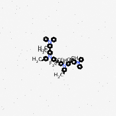 C=Cc1ccc(N(c2ccc(C(c3ccc(N(c4ccc(C=C)cc4)c4ccc(C5(C)CC=C(N(c6ccccc6)c6ccccc6)C=C5C)c(C)c4)cc3)(C(F)(F)F)C(F)(F)F)cc2)c2ccc(-c3ccc(N(c4ccccc4)c4ccccc4)cc3C)c(C)c2)cc1